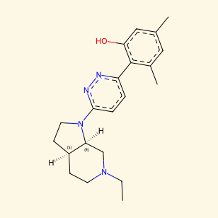 CCN1CC[C@H]2CCN(c3ccc(-c4c(C)cc(C)cc4O)nn3)[C@H]2C1